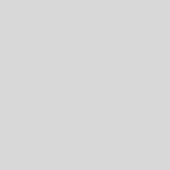 CC(c1ccccc1Br)C1OCC(C=O)O1